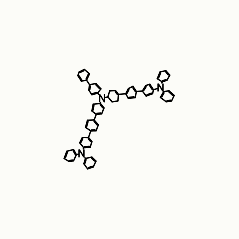 C1=C(c2ccc(-c3ccc(N(c4ccccc4)c4ccccc4)cc3)cc2)CCC(N(c2ccc(-c3ccccc3)cc2)c2ccc(-c3ccc(-c4ccc(N(c5ccccc5)c5ccccc5)cc4)cc3)cc2)C1